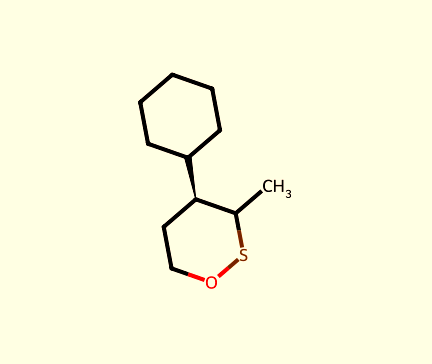 CC1SOCC[C@H]1C1CCCCC1